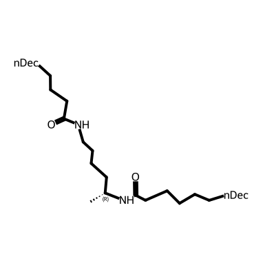 CCCCCCCCCCCCCCCC(=O)N[C@H](C)CCCCNC(=O)CCCCCCCCCCCCC